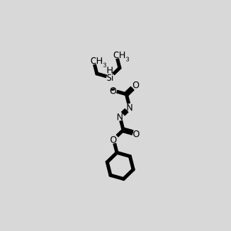 CC[SiH](CC)OC(=O)N=NC(=O)OC1CCCCC1